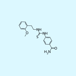 COc1ccccc1CCNC(=S)Nc1ccc(C(N)=O)cc1